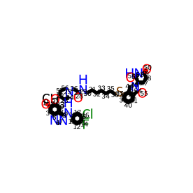 COc1cc2ncnc(Nc3ccc(F)c(Cl)c3)c2cc1OC1CCN(CC(=O)NCCCCCCCSc2cccc3c2CN(C2CCC(=O)NC2=O)C3=O)CC1